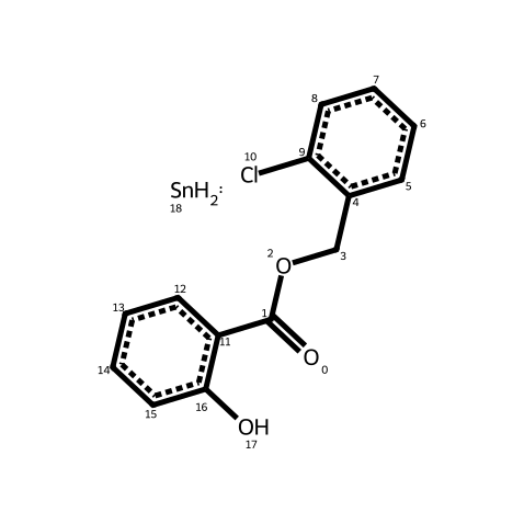 O=C(OCc1ccccc1Cl)c1ccccc1O.[SnH2]